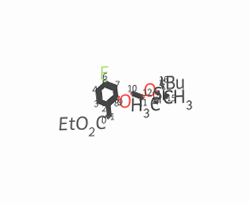 CCOC(=O)Cc1ccc(F)cc1OCCO[Si](C)(C)C(C)(C)C